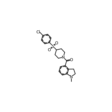 CN1CCc2c(C(=O)N3CCC(S(=O)(=O)c4ccc(Cl)cc4)CC3)cccc21